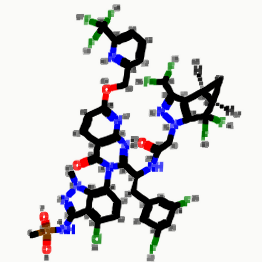 Cn1nc(NS(C)(=O)=O)c2c(Cl)ccc(-n3c([C@H](Cc4cc(F)cc(F)c4)NC(=O)Cn4nc(C(F)F)c5c4C(F)(F)[C@@H]4C[C@H]54)nc4nc(OCc5cccc(C(F)(F)F)n5)ccc4c3=O)c21